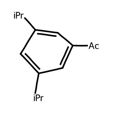 CC(=O)c1cc(C(C)C)cc(C(C)C)c1